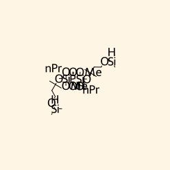 CCCO[Si](OC)(OC(C)(C)CCO[SiH](C)C)P(=O)(O)[Si](OC)(OCCC)OC(C)(C)CCO[SiH](C)C